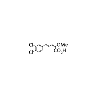 COC(=CC=Cc1ccc(Cl)c(Cl)c1)C(=O)O